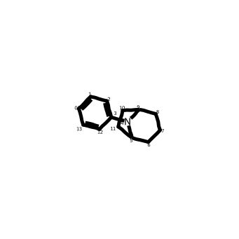 [c]1ccc(N2C3CCCC2CC3)cc1